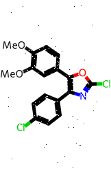 COc1ccc(-c2oc(Cl)nc2-c2ccc(Cl)cc2)cc1OC